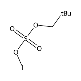 CC(C)(C)COS(=O)(=O)OI